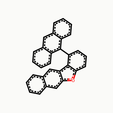 c1ccc2cc3c(cc2c1)oc1cccc(-c2c4ccccc4cc4ccccc24)c13